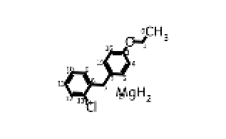 CCOc1ccc(Cc2c[c]ccc2Cl)cc1.[MgH2]